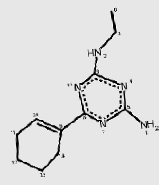 CCNc1nc(N)nc(C2=CCCCC2)n1